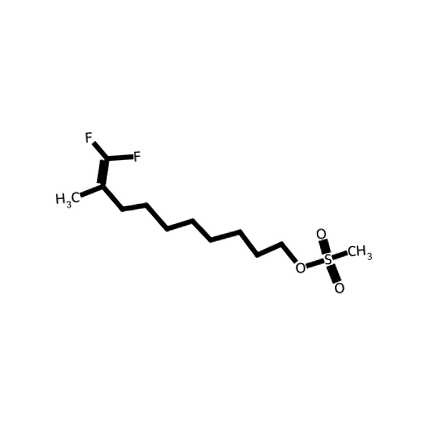 CC(CCCCCCCCOS(C)(=O)=O)=C(F)F